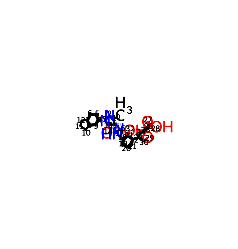 CC1=NN(c2ccc3c(c2)CCC3)C(=O)/C1=N\Nc1cccc(C2C=C(C(=O)O)OC2)c1O